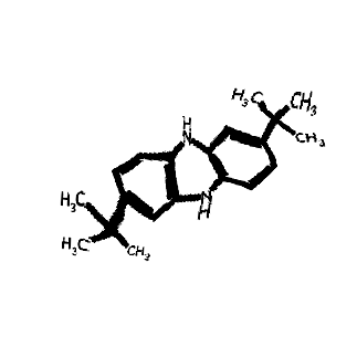 CC(C)(C)c1ccc2c(c1)Nc1ccc(C(C)(C)C)cc1N2